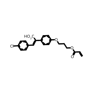 C=CC(=O)OCCCOc1ccc(C(=Cc2ccc(Cl)cc2)C(=O)O)cc1